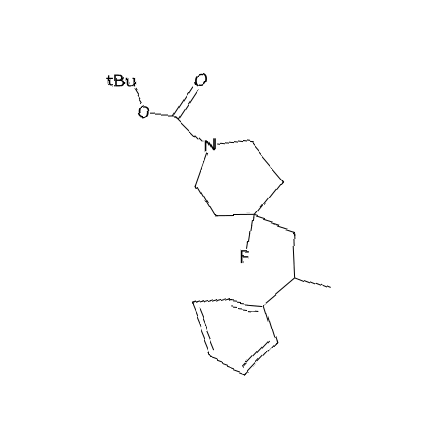 CC(CC1(F)CCN(C(=O)OC(C)(C)C)CC1)c1ccccc1